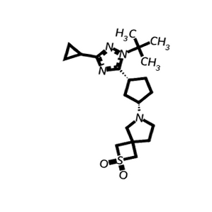 CC(C)(C)n1nc(C2CC2)nc1[C@@H]1CC[C@H](N2CCC3(C2)CS(=O)(=O)C3)C1